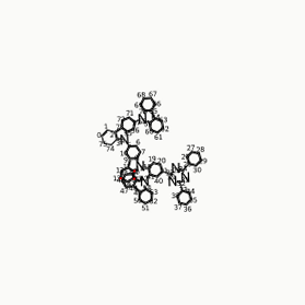 C1=Cc2c(n(-c3ccc4c(c3)c3ccccc3n4-c3ccc(-c4nc(-c5ccccc5)nc(-c5ccccc5)n4)cc3-n3c4ccccc4c4ccccc43)c3cc(-n4c5ccccc5c5ccccc54)ccc23)CC1